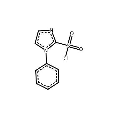 O=S(=O)(Cl)c1nccn1-c1ccccc1